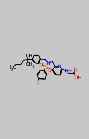 CCCCC(C)(C)c1ccc(CN(Cc2cccc(NCC(=O)O)n2)S(=O)(=O)c2ccc(F)cc2)cc1